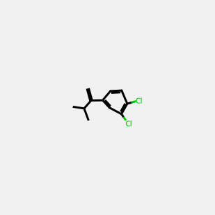 C=C(c1ccc(Cl)c(Cl)c1)C(C)C